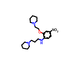 O=[N+]([O-])c1ccc(NCCCN2CCCCC2)c(OCCN2CCCCC2)c1